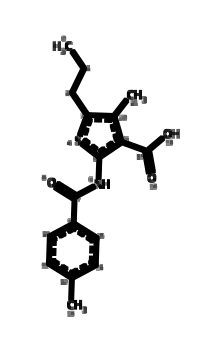 CCCc1sc(NC(=O)c2ccc(C)cc2)c(C(=O)O)c1C